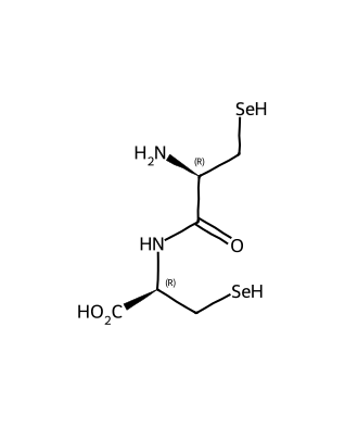 N[C@@H](C[SeH])C(=O)N[C@@H](C[SeH])C(=O)O